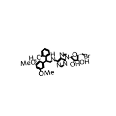 COc1cc(OC)cc(C(CNc2ncnc3c2ncn3[C@@H]2O[C@H](CBr)[C@@H](O)[C@H]2O)c2ccccc2C)c1